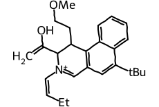 C=C(O)C1C(CCOC)c2c(cc(C(C)(C)C)c3ccccc23)C=[N+]1/C=C\CC